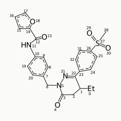 CCC1CC(=O)N(Cc2ccc(NC(=O)c3ccco3)cc2)N=C1c1ccc(S(C)(=O)=O)cc1